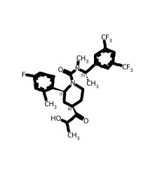 Cc1cc(F)ccc1[C@@H]1C[C@H](C(=O)C(C)O)CCN1C(=O)N(C)[C@@H](C)c1cc(C(F)(F)F)cc(C(F)(F)F)c1